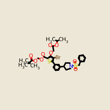 CC(C)OC(=O)COc1c(C(=O)OCOC(=O)C(C)(C)C)sc(-c2cccc(C3CCN(S(=O)(=O)Cc4ccccc4)CC3)c2)c1Br